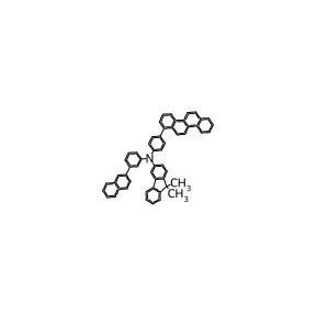 CC1(C)c2ccccc2-c2cc(N(c3ccc(-c4cccc5c4ccc4c6ccccc6ccc54)cc3)c3cccc(-c4ccc5ccccc5c4)c3)ccc21